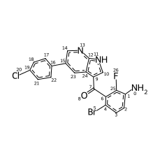 Nc1ccc(Br)c(C(=O)c2c[nH]c3ncc(-c4ccc(Cl)cc4)cc23)c1F